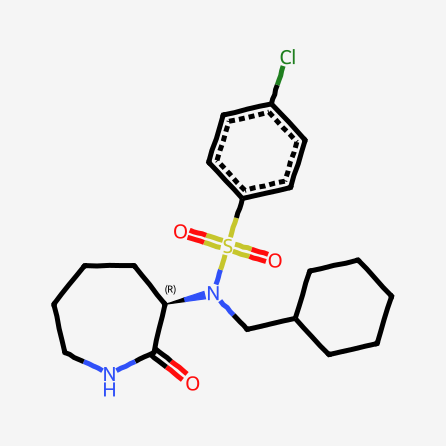 O=C1NCCCC[C@H]1N(CC1CCCCC1)S(=O)(=O)c1ccc(Cl)cc1